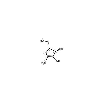 NC1=C(O)[C@H](O)[C@@H](CO)O1